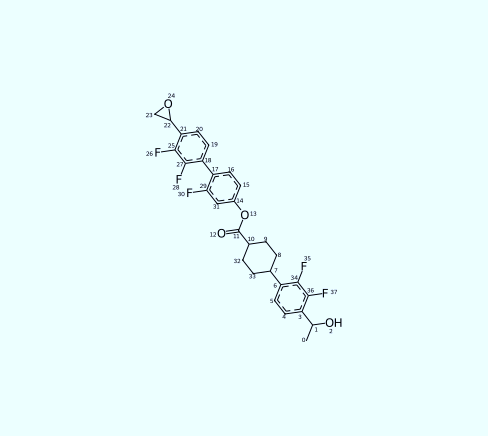 CC(O)c1ccc(C2CCC(C(=O)Oc3ccc(-c4ccc(C5CO5)c(F)c4F)c(F)c3)CC2)c(F)c1F